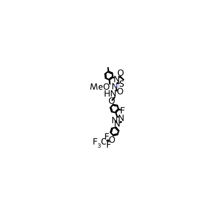 COCc1ccc(C)cc1N1C(=O)CS/C1=N\C(=O)NCOc1ccc(-c2ncn(-c3ccc(OC(F)(F)C(F)(F)F)cc3)n2)c(F)c1